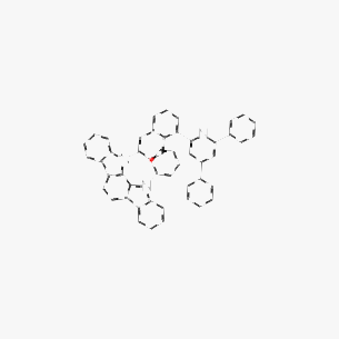 c1ccc(-c2cc(-c3ccccc3)nc(-c3cccc4cc(-n5c6ccccc6c6ccc7c8ccccc8n(-c8ccccc8)c7c65)ccc34)c2)cc1